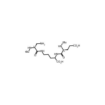 CC(C)(C)N[C@@H](CN)C(=O)NCCCC(NC(=O)[C@H](CCC(=O)O)NC(C)(C)C)C(=O)O